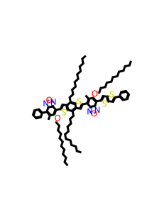 CCCCCCCCCCCCOc1c(C)c(-c2ccccc2)c2nonc2c1-c1cc2c(CCCCCCCCCCCC)c3sc(-c4c(C)c(OCCCCCCCCCCCC)c(-c5cc6sc(-c7ccccc7)cc6s5)c5nonc45)cc3c(CCCCCCCCCCCC)c2s1